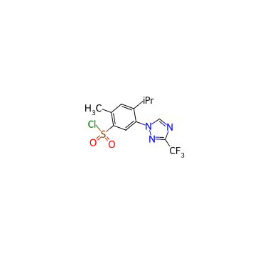 Cc1cc(C(C)C)c(-n2cnc(C(F)(F)F)n2)cc1S(=O)(=O)Cl